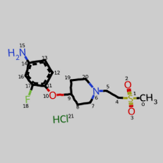 CS(=O)(=O)CCN1CCC(Oc2ccc(N)cc2F)CC1.Cl